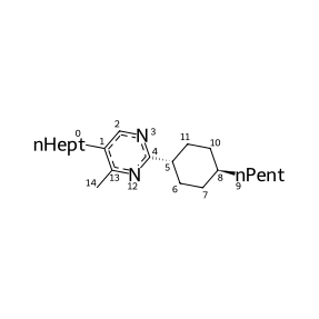 CCCCCCCc1cnc([C@H]2CC[C@H](CCCCC)CC2)nc1C